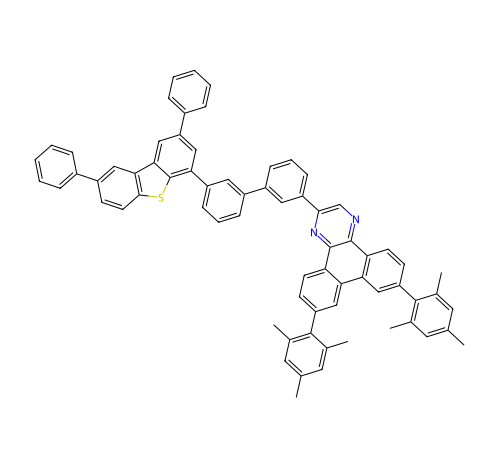 Cc1cc(C)c(-c2ccc3c(c2)c2cc(-c4c(C)cc(C)cc4C)ccc2c2nc(-c4cccc(-c5cccc(-c6cc(-c7ccccc7)cc7c6sc6ccc(-c8ccccc8)cc67)c5)c4)cnc32)c(C)c1